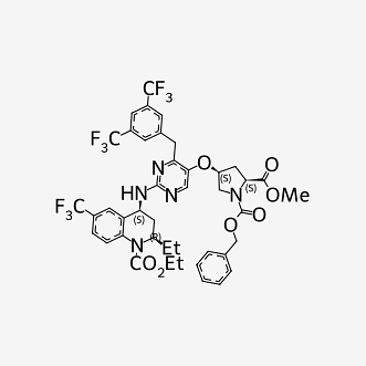 CCOC(=O)N1c2ccc(C(F)(F)F)cc2[C@@H](Nc2ncc(O[C@H]3C[C@@H](C(=O)OC)N(C(=O)OCc4ccccc4)C3)c(Cc3cc(C(F)(F)F)cc(C(F)(F)F)c3)n2)C[C@H]1CC